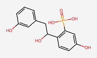 O=P(O)(O)c1cc(O)ccc1C(O)Cc1cccc(O)c1